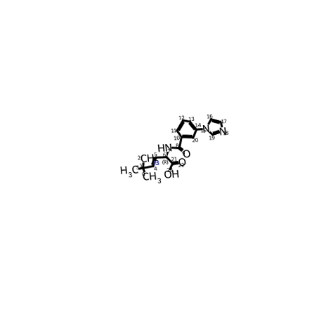 CC(C)(C)/C=C/[C@@H](NC(=O)c1cccc(-n2ccnc2)c1)C(=O)O